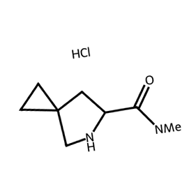 CNC(=O)C1CC2(CC2)CN1.Cl